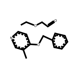 CCOCC=O.Cc1cnccc1OCc1ccccc1